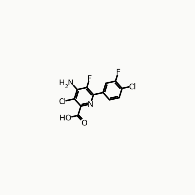 Nc1c(F)c(-c2ccc(Cl)c(F)c2)nc(C(=O)O)c1Cl